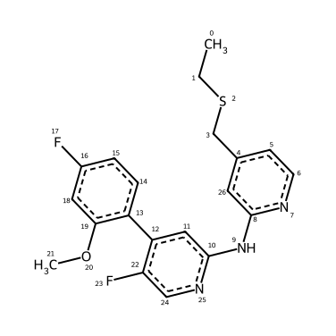 CCSCc1ccnc(Nc2cc(-c3ccc(F)cc3OC)c(F)cn2)c1